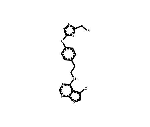 CC(C)Cc1nnc(Oc2ccc(CCNc3ncnc4scc(Cl)c34)cc2)s1